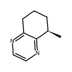 C[C@@H]1CCCc2nccnc21